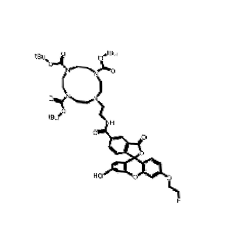 CC(C)(C)OC(=O)N1CCN(CCNC(=O)c2ccc3c(c2)C(=O)OC32c3ccc(O)cc3Oc3cc(OCCF)ccc32)CCN(C(=O)OC(C)(C)C)CCN(C(=O)OC(C)(C)C)CC1